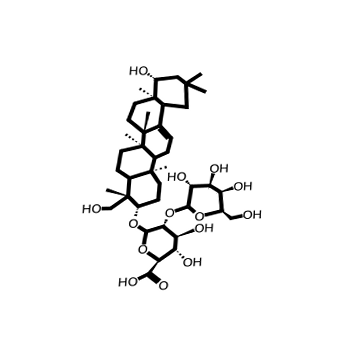 CC1(C)CC2C3=CCC4[C@@]5(C)CC[C@H](OC6O[C@H](C(=O)O)[C@@H](O)[C@H](O)[C@H]6OC6O[C@H](CO)[C@H](O)[C@H](O)[C@H]6O)[C@](C)(CO)C5CC[C@@]4(C)[C@]3(C)CC[C@@]2(C)[C@H](O)C1